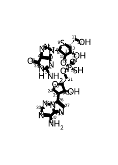 Nc1nc2c(nnn2[C@@H]2S[C@H](CO)[C@@H](O)C2OP(=O)(S)OC[C@H]2OCC(c3cnc4c(N)ncnn34)[C@@H]2O)c(=O)[nH]1